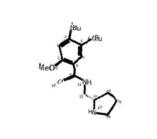 COc1cc(C(C)(C)C)c(C(C)(C)C)cc1C(=O)NC[C@@H]1CCCN1